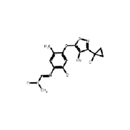 CCN(C)C=Nc1cc(C)c(Oc2snc(C3(Cl)CC3)c2C#N)cc1Cl